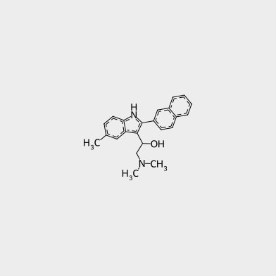 Cc1ccc2[nH]c(-c3ccc4ccccc4c3)c(C(O)CN(C)C)c2c1